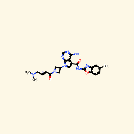 Cc1ccc2oc(NC(=O)c3cn(C4CN(C(=O)/C=C/CN(C)C)C4)c4ncnc(N)c34)nc2c1